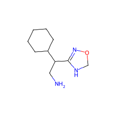 NCC(C1=NOCN1)C1CCCCC1